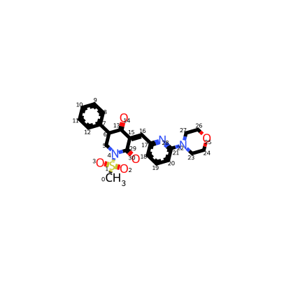 CS(=O)(=O)N1CC(c2ccccc2)C(=O)C(=Cc2cccc(N3CCOCC3)n2)C1=O